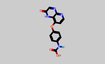 O=C(O)N(F)c1ccc(Oc2ccnc3ncc(=O)[nH]c23)cc1